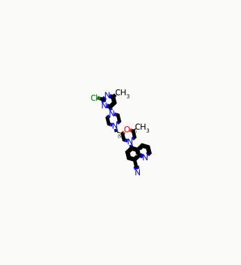 Cc1cc(N2CCN(C[C@H]3CN(c4ccc(C#N)c5ncccc45)C[C@@H](C)O3)CC2)nc(Cl)n1